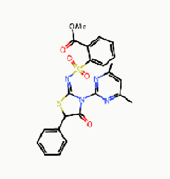 COC(=O)c1ccccc1S(=O)(=O)/N=C1/SC(c2ccccc2)C(=O)N1c1nc(C)cc(C)n1